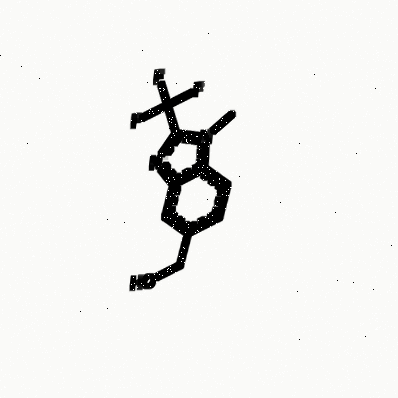 Cn1c(C(F)(F)F)nc2cc(CO)ccc21